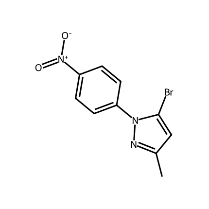 Cc1cc(Br)n(-c2ccc([N+](=O)[O-])cc2)n1